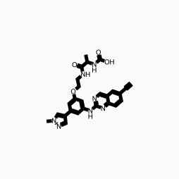 C#Cc1ccc2nc(Nc3cc(OCCNC(=O)C(C)NC(=O)O)cc(-c4cnn(C)c4)c3)ncc2c1